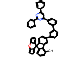 N#Cc1cccc2c1-c1cc(-c3cccc(-c4cccc(-c5cc(-c6ccccc6)nc(-c6ccccc6)n5)c4)c3)ccc1C21c2ccccc2Oc2ccccc21